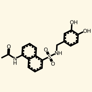 CC(=O)Nc1cccc2c(S(=O)(=O)NCc3ccc(O)c(O)c3)cccc12